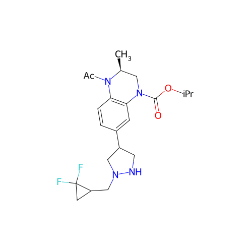 CC(=O)N1c2ccc(C3CNN(CC4CC4(F)F)C3)cc2N(C(=O)OC(C)C)C[C@@H]1C